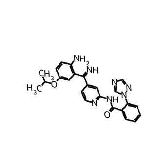 CC(C)Oc1ccc(N)c(C(=N)c2ccnc(NC(=O)c3ccccc3-n3cncn3)c2)c1